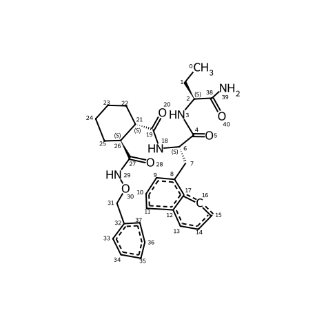 CC[C@H](NC(=O)[C@H](Cc1cccc2ccccc12)NC(=O)[C@H]1CCCC[C@@H]1C(=O)NOCc1ccccc1)C(N)=O